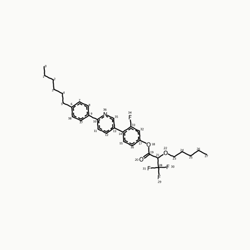 CCCCCCc1ccc(-c2ccc(-c3ccc(OC(=O)C(OCCCCC)C(F)(F)F)cc3F)cn2)cc1